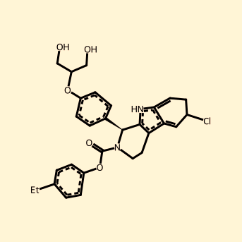 CCc1ccc(OC(=O)N2CCc3c([nH]c4c3=CC(Cl)CC=4)[C@@H]2c2ccc(OC(CO)CO)cc2)cc1